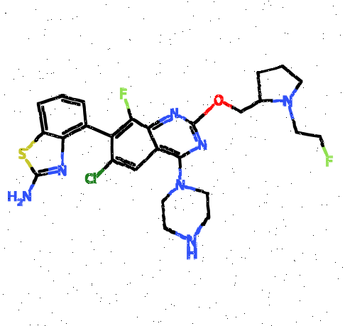 Nc1nc2c(-c3c(Cl)cc4c(N5CCNCC5)nc(OCC5CCCN5CCF)nc4c3F)cccc2s1